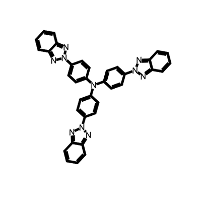 c1ccc2nn(-c3ccc(N(c4ccc(-n5nc6ccccc6n5)cc4)c4ccc(-n5nc6ccccc6n5)cc4)cc3)nc2c1